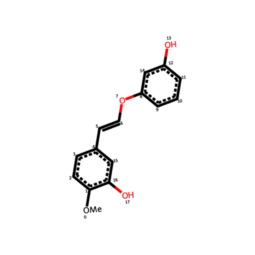 COc1ccc(C=COc2cccc(O)c2)cc1O